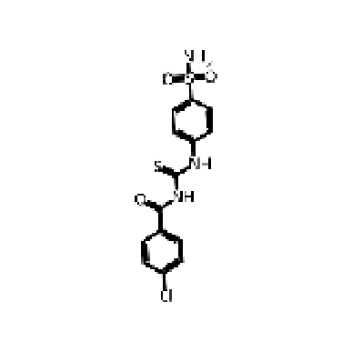 NS(=O)(=O)c1ccc(NC(=S)NC(=O)c2ccc(Cl)cc2)cc1